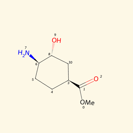 COC(=O)[C@H]1CC[C@@H](N)[C@H](O)C1